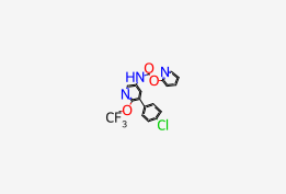 O=C(Nc1cnc(OCC(F)(F)F)c(-c2ccc(Cl)cc2)c1)Oc1ccccn1